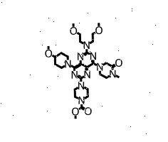 COCCN(CCOC)c1nc(N2CCN(C)C(=O)C2)c2nc(N3CCN(C(=O)OC)CC3)nc(N3CCC(OC)CC3)c2n1